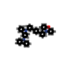 c1cc(-c2ccc(-c3cccc4c3c3cccc5c3n4-c3ccccc3O5)cc2)cc(-n2c3ccccc3c3cc(-n4c5ccccc5c5ccccc54)ccc32)c1